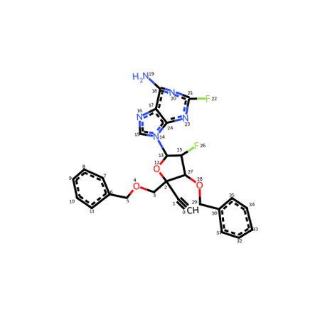 C#CC1(COCc2ccccc2)OC(n2cnc3c(N)nc(F)nc32)C(F)C1OCc1ccccc1